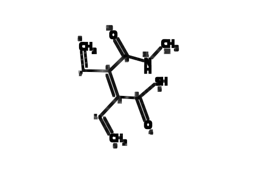 C=C/C(C(=O)S)=C(\C=C)C(=O)NC